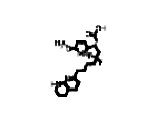 COc1ccc([C@H](CC(=O)O)CC(F)(F)CCCCc2ccc3c(n2)NCCC3)nn1